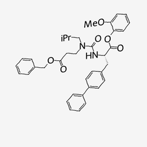 COc1ccccc1OC(=O)[C@H](Cc1ccc(-c2ccccc2)cc1)NC(=O)N(CCC(=O)OCc1ccccc1)CC(C)C